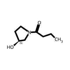 CCCC(=O)N1CC[C@H](O)C1